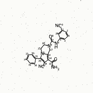 N#Cc1cccc(NC(=O)N2CCn3c(c(C(N)=O)c(C#N)c3-c3ccccc3)C2)c1